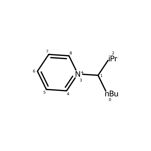 CCCCC(C(C)C)[n+]1ccccc1